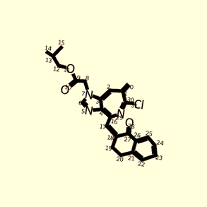 C=C1C=c2c(ncn2CC(=O)OCC(C)C)=C(/C=C2/CCc3ccccc3C2=O)N=C1Cl